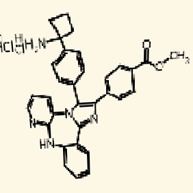 COC(=O)c1ccc(-c2nc3n(c2-c2ccc(C4(N)CCC4)cc2)-c2cccnc2Nc2ccccc2-3)cc1.Cl.Cl.Cl